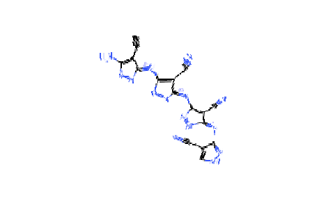 C#CC1=C(N)N=N/C1=N\C1=C(C#N)C(=N/C2=C(C#N)C(=N/c3n[nH]cc3C#N)/N=N2)/N=N1